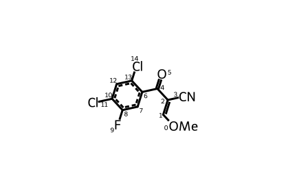 COC=C(C#N)C(=O)c1cc(F)c(Cl)cc1Cl